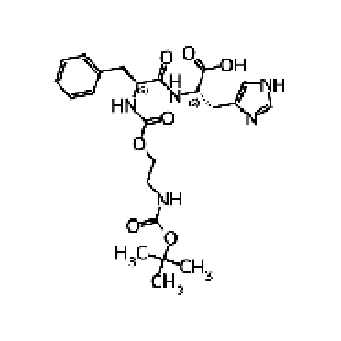 CC(C)(C)OC(=O)NCCOC(=O)N[C@@H](Cc1ccccc1)C(=O)N[C@@H](Cc1c[nH]cn1)C(=O)O